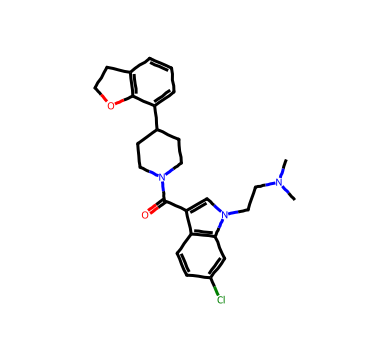 CN(C)CCn1cc(C(=O)N2CCC(c3cccc4c3OCC4)CC2)c2ccc(Cl)cc21